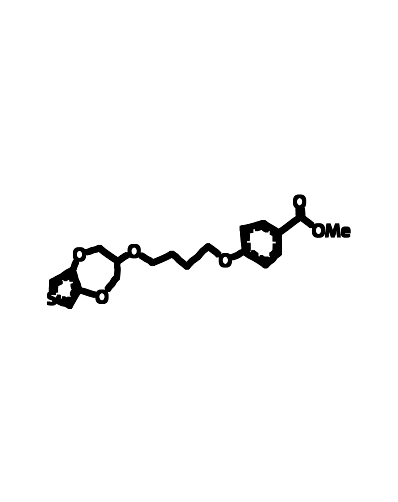 COC(=O)c1ccc(OCCCCOC2COc3cscc3OC2)cc1